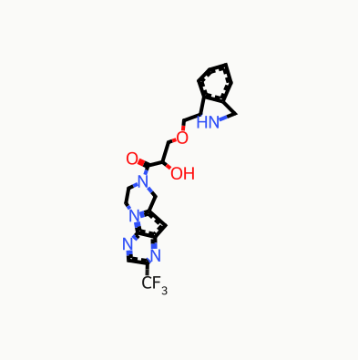 O=C(C(O)COCC1NCc2ccccc21)N1CCn2c(cc3nc(C(F)(F)F)cnc32)C1